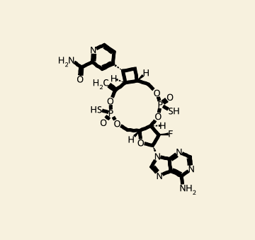 C=C1OP(=O)(S)OC[C@H]2O[C@@H](n3cnc4c(N)ncnc43)[C@H](F)[C@@H]2OP(=O)(S)OC[C@H]2C[C@@H](c3ccnc(C(N)=O)c3)[C@H]12